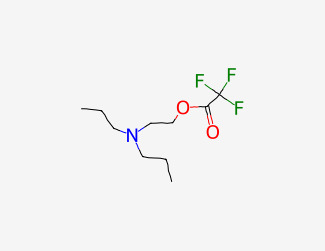 CCCN(CCC)CCOC(=O)C(F)(F)F